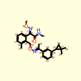 CNC(=O)/C(=N/OC)c1cccc(C)c1CO/N=C(\C)c1cccc(C2CC2(C)C)c1